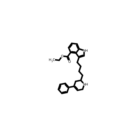 CCOC(=O)c1cccc2[nH]cc(CCCCC3CC(c4ccccc4)=CCN3)c12